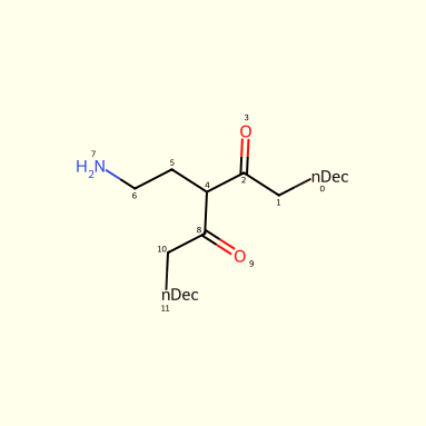 CCCCCCCCCCCC(=O)C(CCN)C(=O)CCCCCCCCCCC